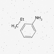 CCC.Nc1ccccc1